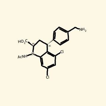 CC(=O)NN1c2cc(Cl)cc(Cl)c2[C@@H](c2ccc(CN)cc2)C[C@@H]1C(=O)O